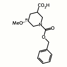 CO[C@@H]1CC(C(=O)O)CN(C(=O)OCc2ccccc2)C1